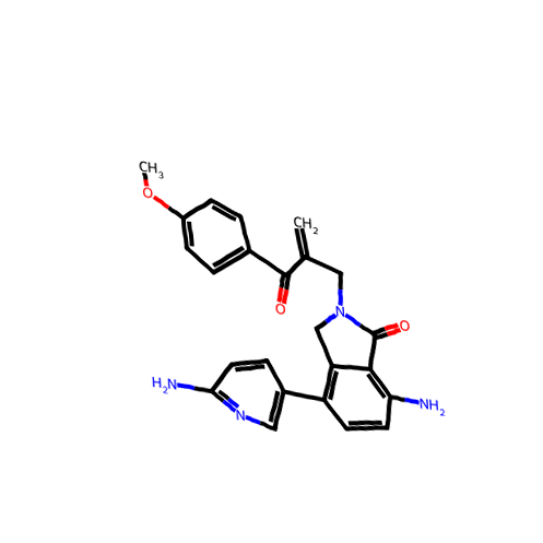 C=C(CN1Cc2c(-c3ccc(N)nc3)ccc(N)c2C1=O)C(=O)c1ccc(OC)cc1